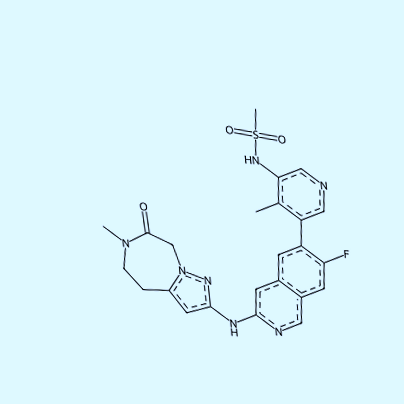 Cc1c(NS(C)(=O)=O)cncc1-c1cc2cc(Nc3cc4n(n3)CC(=O)N(C)CC4)ncc2cc1F